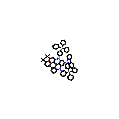 CC(C)(C)c1ccc(-c2cccc3c2B2c4ccc(C(C)(C)C)cc4N(c4ccc([Si](c5ccccc5)(c5ccccc5)c5ccccc5)cc4)c4cc(-n5c6ccccc6c6ccccc65)cc(c42)N3c2cccc([Si](c3ccccc3)(c3ccccc3)c3ccccc3)c2)cc1